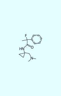 CN(C)CC1(NC(=O)C(C)(F)c2ccccc2)CC1